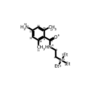 CC[N+](CC)(CC)CCNC(=O)c1c(C)cc(N)cc1C